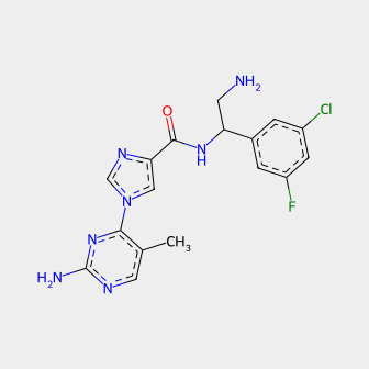 Cc1cnc(N)nc1-n1cnc(C(=O)NC(CN)c2cc(F)cc(Cl)c2)c1